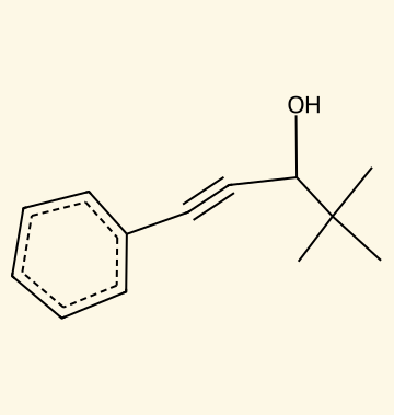 CC(C)(C)C(O)C#Cc1ccccc1